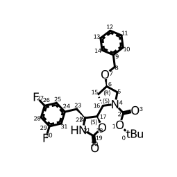 CC(C)(C)OC(=O)N1C[C@H](OCc2ccccc2)C[C@H]1[C@H]1OC(=O)N[C@H]1Cc1cc(F)cc(F)c1